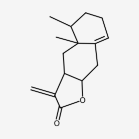 C=C1C(=O)OC2CC3=CCCC(C)C3(C)CC12